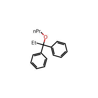 CCCOC(CC)(c1ccccc1)c1ccccc1